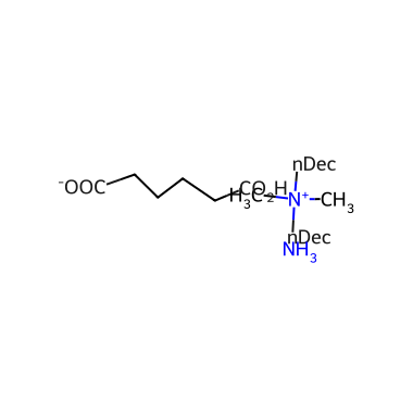 CCCCCCCCCC[N+](C)(C)CCCCCCCCCC.N.O=C([O-])CCCCC(=O)O